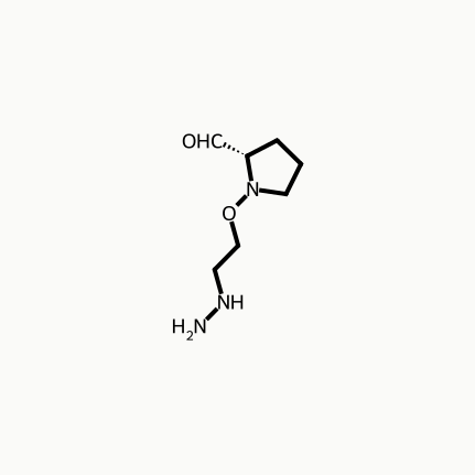 NNCCON1CCC[C@H]1C=O